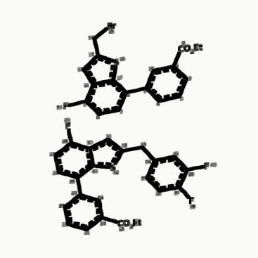 CCOC(=O)c1cccc(-c2ccc(F)c3cc(CBr)sc23)c1.CCOC(=O)c1cccc(-c2ccc(F)c3cc(Cc4ccc(F)c(F)c4)sc23)c1